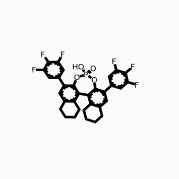 O=P1(O)Oc2c(-c3cc(F)c(F)c(F)c3)cc3c(c2-c2c4c(cc(-c5cc(F)c(F)c(F)c5)c2O1)CCCC4)CCCC3